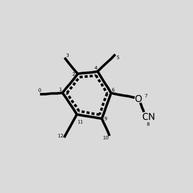 Cc1c(C)c(C)c(OC#N)c(C)c1C